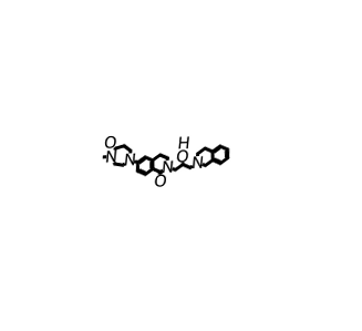 CN1CCN(c2ccc3c(c2)CCN(CC(O)CN2CCc4ccccc4C2)C3=O)CCC1=O